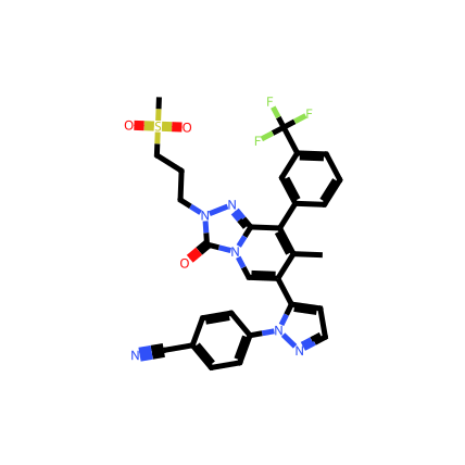 Cc1c(-c2ccnn2-c2ccc(C#N)cc2)cn2c(=O)n(CCCS(C)(=O)=O)nc2c1-c1cccc(C(F)(F)F)c1